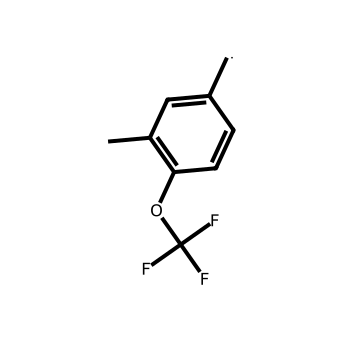 [CH2]c1ccc(OC(F)(F)F)c(C)c1